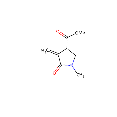 C=C1C(=O)N(C)CC1C(=O)OC